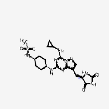 CS(=O)(=O)N[C@H]1CC[C@H](Nc2nc(NC3CC3)n3ncc(/C=C4\NC(=O)NC4=O)c3n2)CC1